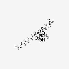 CCCCCCCCCCC(OC(=O)CCCCC1CC1)C(C)C(=O)O